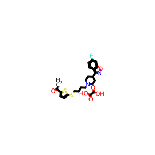 CC(=O)c1ccc(SCCCCN2CCC(c3noc4cc(F)ccc34)CC2)s1.O=C(O)C(=O)O